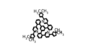 CC1(C)CC=C(c2ccc(-c3ccccc3-c3cc(-c4ccccc4-c4ccc(C5=CCC(C)(C)C5)nc4)cc(-c4ccccc4-c4ccc(C5=CCC(C)(C)C5)nc4)c3)cn2)C1